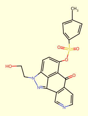 Cc1ccc(S(=O)(=O)Oc2ccc3c4c(nn3CCO)-c3cnccc3C(=O)c24)cc1